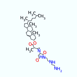 CC(C)CCC[C@@H](C)C1CCC2C3CC=C4C[C@@H](OC(=O)C(C)C5CN5C(CC=O)C(=O)NCCNCCN)CC[C@]4(C)C3CC[C@@]21C